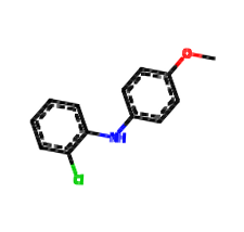 COc1ccc(Nc2ccccc2Cl)cc1